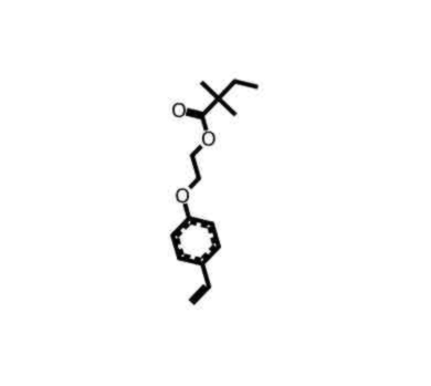 C=Cc1ccc(OCCOC(=O)C(C)(C)CC)cc1